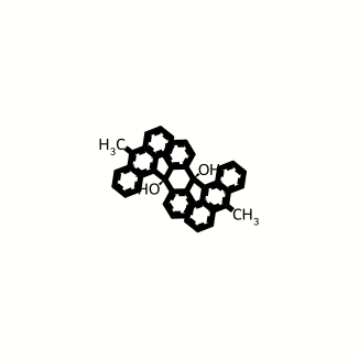 Cc1c2ccccc2c([C@]2(O)c3ccccc3[C@](O)(c3c4ccccc4c(C)c4ccccc43)c3ccccc32)c2ccccc12